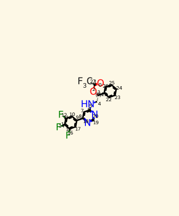 O=C(O[C@@H](CNc1cc(-c2cc(F)c(F)c(F)c2)ncn1)c1ccccc1)C(F)(F)F